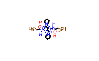 OC(CSS)Nc1nc(N2CCCCC2)c2nc(NC(O)CSS)nc(N3CCCCC3)c2n1